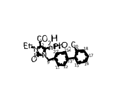 CCCc1c(C(=O)O)n(CC)c(=O)n1Cc1ccc(-c2ccccc2C(=O)O)cc1